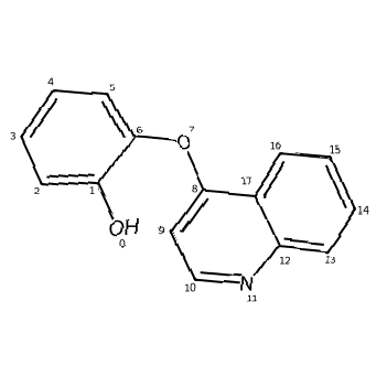 Oc1ccccc1Oc1ccnc2ccccc12